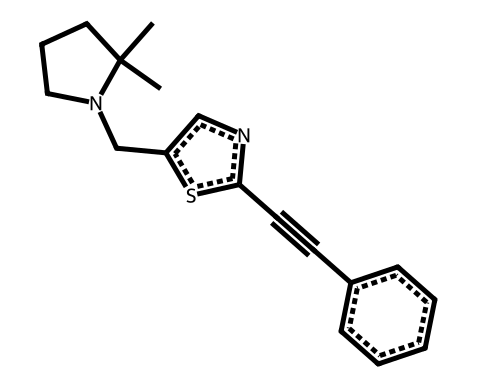 CC1(C)CCCN1Cc1cnc(C#Cc2ccccc2)s1